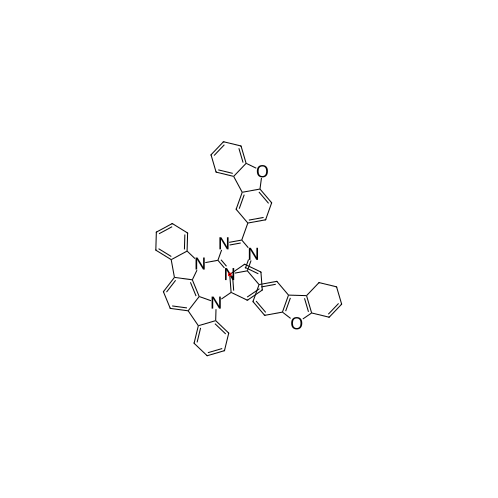 C1=Cc2oc3ccc(-c4nc(-c5ccc6oc7ccccc7c6c5)nc(-n5c6ccccc6c6ccc7c8ccccc8n(-c8ccccc8)c7c65)n4)cc3c2CC1